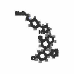 CO/N=C/c1ccc(-c2cnc([C@@H]3CCc4cc(-c5cc(Cl)ccc5-n5cnnn5)cc(=O)n43)[nH]2)cc1